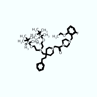 CCOc1cccc(F)c1CN1CCN(C(=O)CN2CCC(CCc3ccccc3)(CN(CCO[Si](C)(C)C(C)(C)C)CCO[Si](C)(C)C(C)(C)C)CC2)CC1